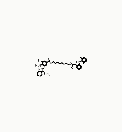 CCC1(NCc2cc(C(=O)OCCCCCCCCOC(=O)Cc3ccccc3Nc3c(Cl)cccc3Cl)cc(Br)c2N)CCCCC1